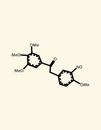 COc1ccc(CC(=O)c2cc(OC)c(OC)c(OC)c2)cc1N=O